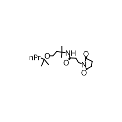 CCCC(C)(C)OCCC(C)(C)NC(=O)CCN1C(=O)CCC1=O